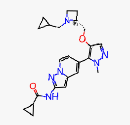 Cn1ncc(OC[C@H]2CCN2CC2CC2)c1-c1ccn2nc(NC(=O)C3CC3)cc2c1